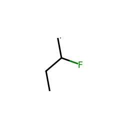 [CH2]C(F)CC